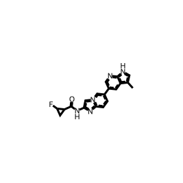 Cc1c[nH]c2ncc(-c3ccc4nc(NC(=O)C5CC5F)cn4c3)cc12